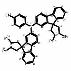 CCc1ccc(N(c2ccc3c(c2)C(CCC(C)C)(CCC(C)C)c2ccccc2-3)c2ccc3c(c2)C(CCC(C)C)(CCC(C)C)c2ccccc2-3)cc1